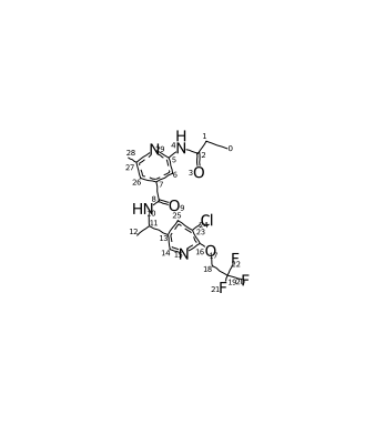 CCC(=O)Nc1cc(C(=O)NC(C)c2cnc(OCC(F)(F)F)c(Cl)c2)cc(C)n1